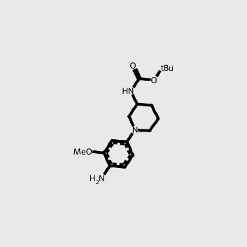 COc1cc(N2CCCC(NC(=O)OC(C)(C)C)C2)ccc1N